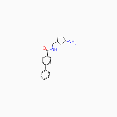 NC1CCC(CNC(=O)c2ccc(-c3ccccc3)cc2)C1